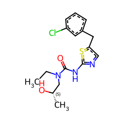 CCN(C[C@H](C)O)C(=O)Nc1ncc(Cc2cccc(Cl)c2)s1